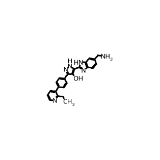 CCc1ncccc1-c1ccc(-c2n[nH]c(-c3nc4ccc(CN)cc4[nH]3)c2O)cc1